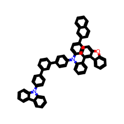 c1cc(-c2ccc(N(c3ccc(-c4ccc5ccccc5c4)cc3)c3ccccc3-c3cccc4oc5ccccc5c34)cc2)cc(-c2ccc(-n3c4ccccc4c4ccccc43)cc2)c1